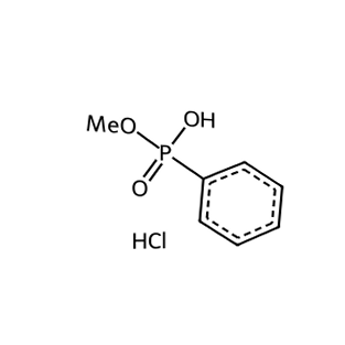 COP(=O)(O)c1ccccc1.Cl